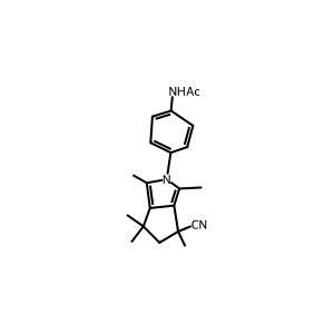 CC(=O)Nc1ccc(-n2c(C)c3c(c2C)C(C)(C#N)CC3(C)C)cc1